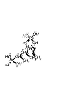 C=CCN.CCC.CCC.OP(O)(O)=S.OP(O)(O)=S